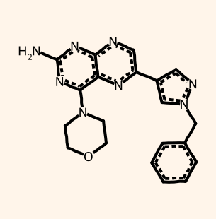 Nc1nc(N2CCOCC2)c2nc(-c3cnn(Cc4ccccc4)c3)cnc2n1